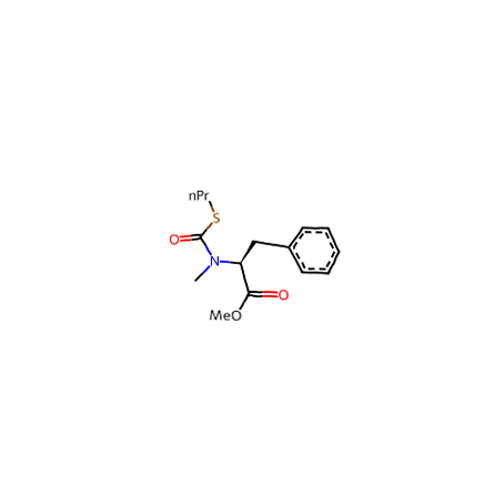 CCCSC(=O)N(C)[C@@H](Cc1ccccc1)C(=O)OC